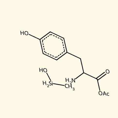 CC(=O)OC(=O)C(N)Cc1ccc(O)cc1.C[SiH2]O